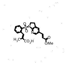 COC(=O)C=Cc1cnc2c(c1)CCN2S(=O)(=O)c1ccccc1C=C(C)C(=O)O